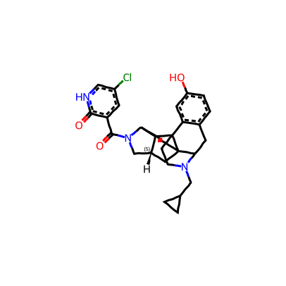 O=C(c1cc(Cl)c[nH]c1=O)N1C[C@H]2CC34CCC1C2C31CCN(CC2CC2)C4Cc2ccc(O)cc21